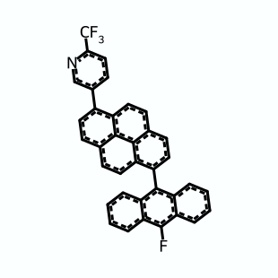 Fc1c2ccccc2c(-c2ccc3ccc4c(-c5ccc(C(F)(F)F)nc5)ccc5ccc2c3c54)c2ccccc12